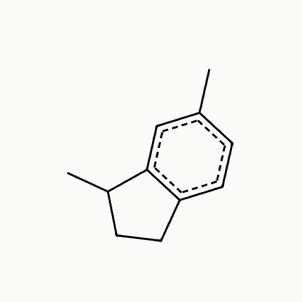 Cc1ccc2c(c1)C(C)CC2